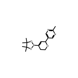 Cc1ncc(C2C=C(B3OC(C)(C)C(C)(C)O3)CCO2)cn1